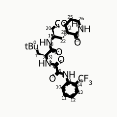 CC(C)(C)C[C@H](NC(=O)C(=O)Nc1ccccc1C(F)(F)F)C(=O)N[C@@H](CC(=O)O)C[C@@H]1CCCNC1=O